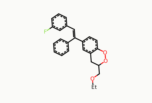 CCOCC1Cc2cc(C(=Cc3cccc(F)c3)c3ccccc3)ccc2OO1